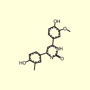 COc1cc(-c2cc(-c3ccc(O)c(C)c3)nc(=O)[nH]2)ccc1O